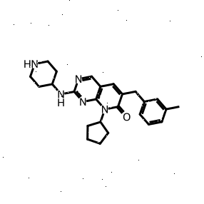 Cc1cccc(Cc2cc3cnc(NC4CCNCC4)nc3n(C3CCCC3)c2=O)c1